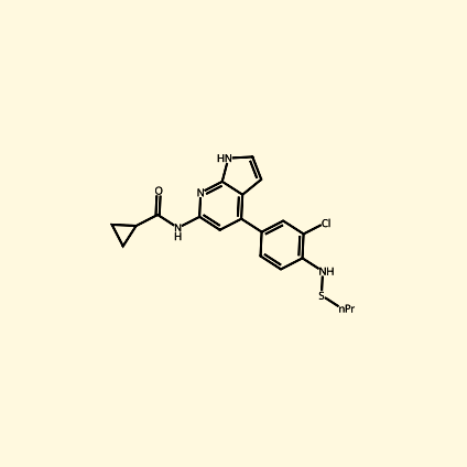 CCCSNc1ccc(-c2cc(NC(=O)C3CC3)nc3[nH]ccc23)cc1Cl